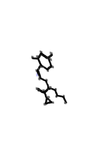 CCCCN(C/C=C\C1CCC(C)=CC1C)C(=O)C1CC1